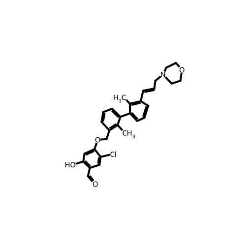 Cc1c(/C=C/CN2CCOCC2)cccc1-c1cccc(COc2cc(O)c(C=O)cc2Cl)c1C